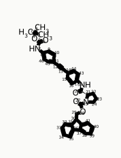 CC(C)(C)OC(=O)Nc1ccc(C#Cc2ccc(NC(=O)[C@@H]3CCCN3C(=O)OCC3c4ccccc4-c4ccccc43)cc2)cc1